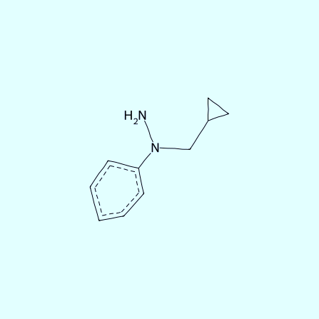 NN(CC1CC1)c1ccccc1